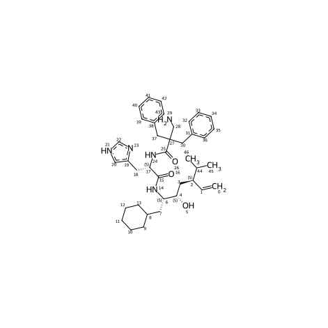 C=C[C@@H](C[C@H](O)[C@H](CC1CCCCC1)NC(=O)[C@H](Cc1c[nH]cn1)NC(=O)C(CN)(Cc1ccccc1)Cc1ccccc1)C(C)C